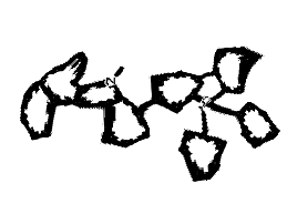 Cn1c2ccc3ccccc3c2c2cccc(-c3ccc4c(c3)[Si](c3ccccc3)(c3ccccc3)c3ccccc3-4)c21